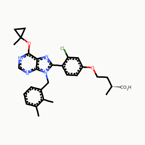 Cc1cccc(Cn2c(-c3ccc(OCC[C@@H](C)C(=O)O)cc3Cl)nc3c(OC4(C)CC4)ncnc32)c1C